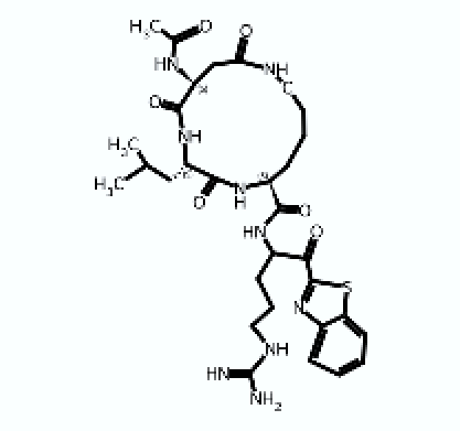 CC(=O)N[C@H]1CC(=O)NCCCC[C@@H](C(=O)NC(CCCNC(=N)N)C(=O)c2nc3ccccc3s2)NC(=O)[C@H](CC(C)C)NC1=O